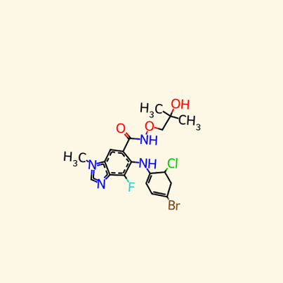 Cn1cnc2c(F)c(NC3=CC=C(Br)CC3Cl)c(C(=O)NOCC(C)(C)O)cc21